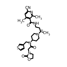 Cc1cc(C#N)nc(C)c1C(=O)NCC[C@@H](C)N1CCC(N(Cc2ccsc2)C(=O)CN2CCOC2=O)CC1